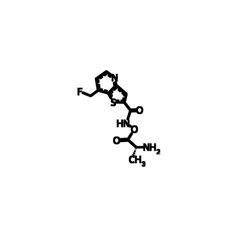 C[C@@H](N)C(=O)ONC(=O)c1cc2nccc(CF)c2s1